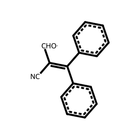 N#CC([C]=O)=C(c1ccccc1)c1ccccc1